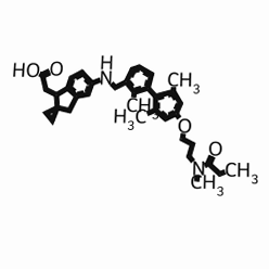 CCC(=O)N(C)CCCOc1cc(C)c(-c2cccc(CNc3ccc4c(c3)CC3(CC3)C4CC(=O)O)c2C)c(C)c1